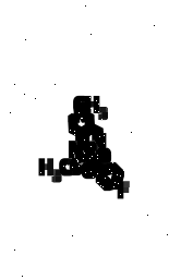 CSc1nn2c3c(cnc2c1S(=O)(=O)c1ccc(F)cc1)CN(C)CC3